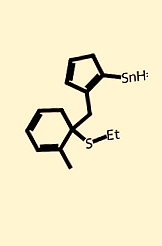 CCSC1(CC2=[C]([SnH])CC=C2)CC=CC=C1C